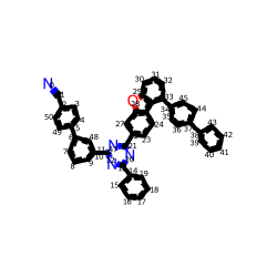 N#Cc1ccc(-c2cccc(-c3nc(-c4ccccc4)nc(-c4ccc5c(c4)oc4cccc(-c6ccc(-c7ccccc7)cc6)c45)n3)c2)cc1